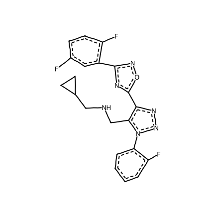 Fc1ccc(F)c(-c2noc(-c3nnn(-c4ccccc4F)c3CNCC3CC3)n2)c1